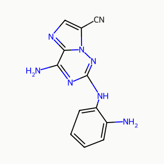 N#Cc1cnc2c(N)nc(Nc3ccccc3N)nn12